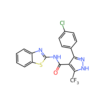 O=C(Nc1nc2ccccc2s1)c1c(-c2ccc(Cl)cc2)n[nH]c1C(F)(F)F